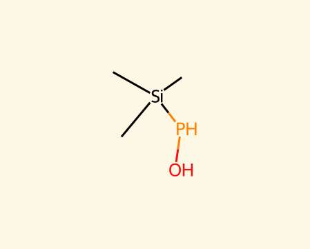 C[Si](C)(C)PO